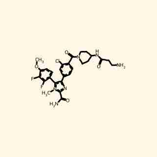 COc1ccc(-c2c(-c3ccc(C(=O)N4CCC(NC(=O)CCN)CC4)c(Cl)c3)nc(C(N)=O)n2C)c(F)c1F